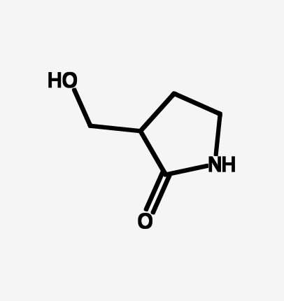 O=C1NCCC1CO